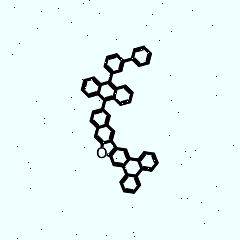 c1ccc(-c2cccc(-c3c4ccccc4c(-c4ccc5cc6oc7cc8c9ccccc9c9ccccc9c8cc7c6cc5c4)c4ccccc34)c2)cc1